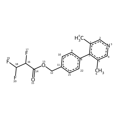 Cc1cncc(C)c1-c1ccc(COC(=O)C(F)C(F)F)cc1